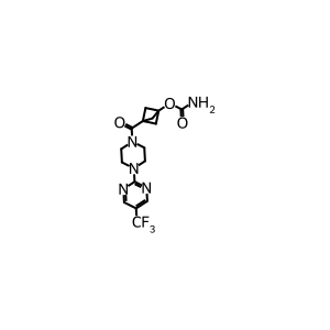 NC(=O)OC12CC(C(=O)N3CCN(c4ncc(C(F)(F)F)cn4)CC3)(C1)C2